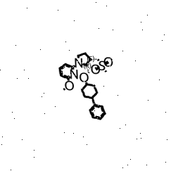 COc1cccc(N2CC[C@H](CS(C)(=O)=O)[C@@H]2COC2CCC(c3ccccc3)CC2)n1